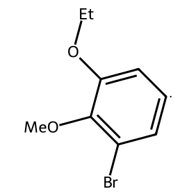 CCOc1c[c]cc(Br)c1OC